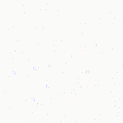 CC1(C)O[C@H]2[C@H](n3cnc4c(Cl)nc(Cl)nc43)[C@H]3C[C@@]3(CO[Si](c3ccccc3)(c3ccccc3)C(C)(C)C)[C@H]2O1